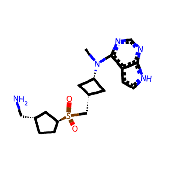 CN(c1ncnc2[nH]ccc12)[C@H]1C[C@@H](CS(=O)(=O)[C@H]2CC[C@H](CN)C2)C1